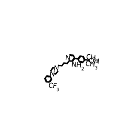 CC(C)(O)c1ccc(-c2ccnc(CCCCN3CCN(c4cccc(C(F)(F)F)c4)CC3)c2N)cc1